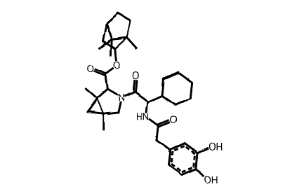 CC12CN(C(=O)C(NC(=O)Cc3ccc(O)c(O)c3)C3CCCCC3)C(C(=O)OC3CC4CCC3(C)C4(C)C)C1(C)C2